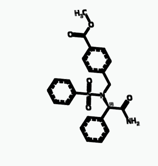 COC(=O)c1ccc(CN([C@@H](C(N)=O)c2ccccc2)S(=O)(=O)c2ccccc2)cc1